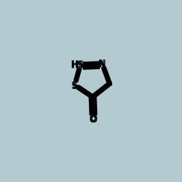 O=C1CN=[SH]S1